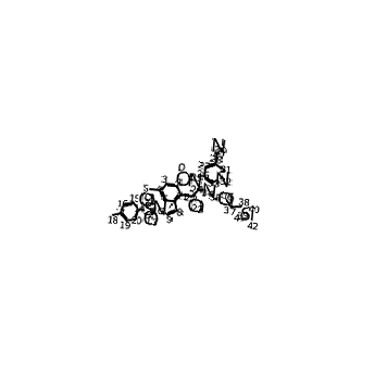 COc1cc(C)c2c(ccn2S(=O)(=O)c2ccc(C)cc2)c1C(=O)c1nc2cc(C#N)cnc2n1COCC[Si](C)(C)C